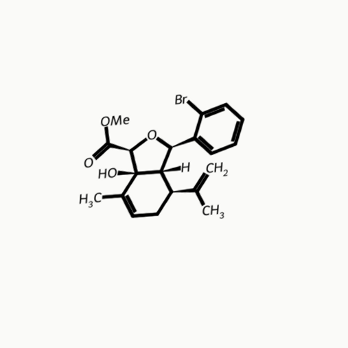 C=C(C)[C@H]1CC=C(C)[C@@]2(O)[C@@H]1[C@H](c1ccccc1Br)O[C@@H]2C(=O)OC